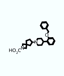 O=C(O)N1CC2(CC[C@@H](N3CCC(c4ccccc4OCc4ccccc4)CC3)C2)C1